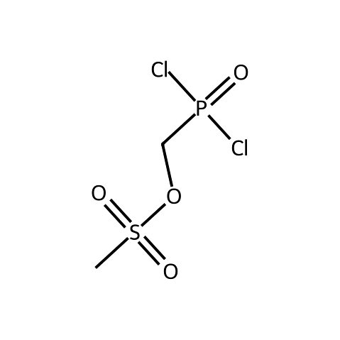 CS(=O)(=O)OCP(=O)(Cl)Cl